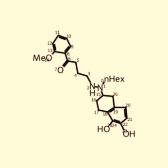 CCCCCCN(NCCCC(=O)c1ccccc1OC)C1CCc2c(ccc(O)c2O)C1